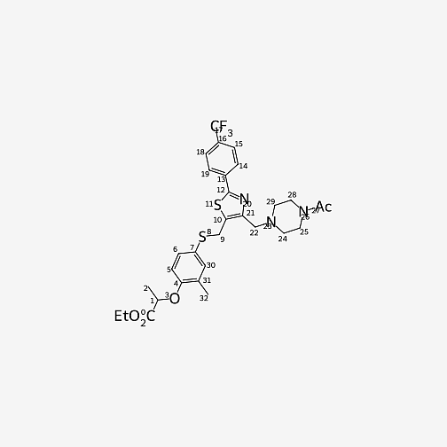 CCOC(=O)C(C)Oc1ccc(SCc2sc(-c3ccc(C(F)(F)F)cc3)nc2CN2CCN(C(C)=O)CC2)cc1C